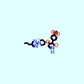 CCCc1cnc(N2CC[C@H](Oc3cc[nH]c(=O)c3-c3ccc(S(C)(=O)=O)cc3)C[C@H]2C)nc1